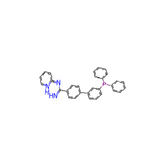 N=C(/N=c1/cccc[nH]1)c1ccc(-c2cccc(P(c3ccccc3)c3ccccc3)c2)cc1